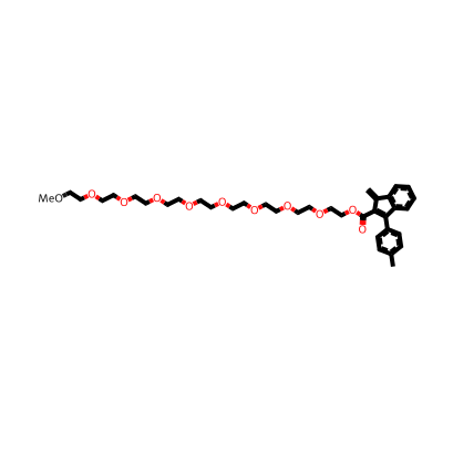 C=C1C(C(=O)OCCOCCOCCOCCOCCOCCOCCOCCOCCOC)=C(c2ccc(C)cc2)c2ccccc21